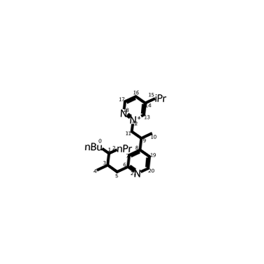 CCCCC(CCC)C(C)Cc1cc(C(C)C[n+]2cc(C(C)C)ccn2)ccn1